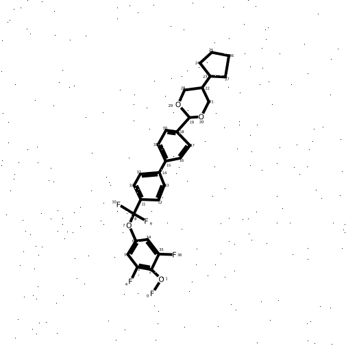 FOc1c(F)cc(OC(F)(F)c2ccc(-c3ccc(C4OCC(C5CCCC5)CO4)cc3)cc2)cc1F